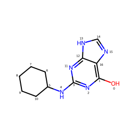 Oc1nc(NC2CCCCC2)nc2[nH]cnc12